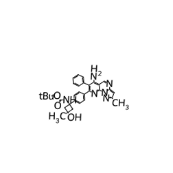 Cc1cc2ncc3c(N)c(-c4ccccc4)c(-c4ccc([C@]5(NC(=O)OC(C)(C)C)C[C@](C)(O)C5)cc4)nc3n2n1